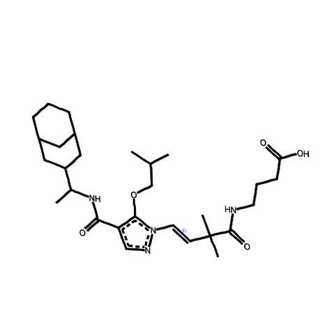 CC(C)COc1c(C(=O)NC(C)C2CC3CCCC(C3)C2)cnn1/C=C/C(C)(C)C(=O)NCCCC(=O)O